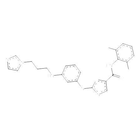 Cc1cccc(Cl)c1NC(=O)c1cnc(Nc2cccc(NCCCn3ccnc3)c2)s1